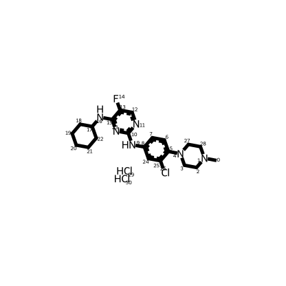 CN1CCN(c2ccc(Nc3ncc(F)c(NC4CCCCC4)n3)cc2Cl)CC1.Cl.Cl